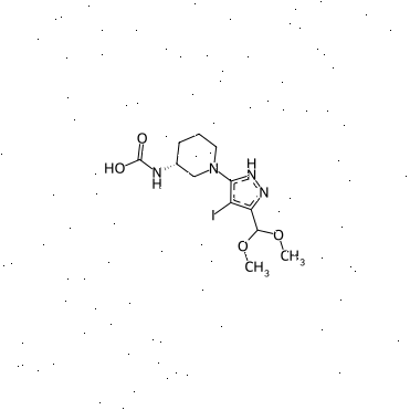 COC(OC)c1n[nH]c(N2CCC[C@@H](NC(=O)O)C2)c1I